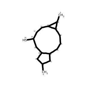 CC1CC2CCCC3C(C)C3CCC(S)CC2C1